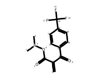 C=C(C(=O)ON(C)C)C(=O)c1ccc(C(F)(F)F)cc1